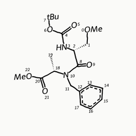 COC[C@@H](NC(=O)OC(C)(C)C)C(=O)N(Cc1ccccc1)[C@@H](C)C(=O)OC